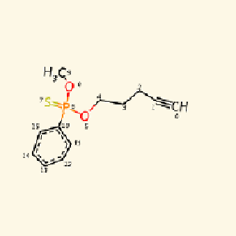 C#CCCCOP(=S)(OC)c1ccccc1